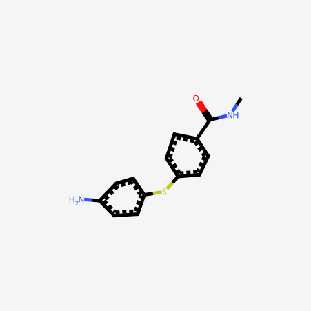 CNC(=O)c1ccc(Sc2ccc(N)cc2)cc1